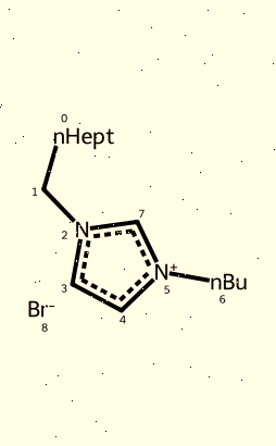 CCCCCCCCn1cc[n+](CCCC)c1.[Br-]